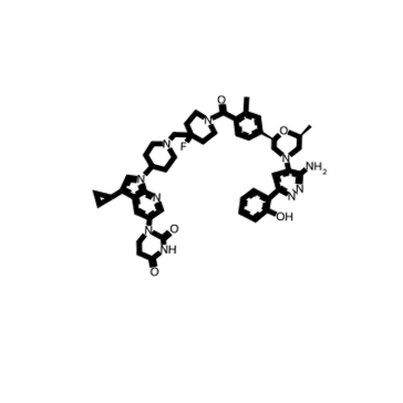 Cc1cc([C@@H]2CN(c3cc(-c4ccccc4O)nnc3N)C[C@H](C)O2)ccc1C(=O)N1CCC(F)(CN2CCC(n3cc(C4CC4)c4cc(N5CCC(=O)NC5=O)cnc43)CC2)CC1